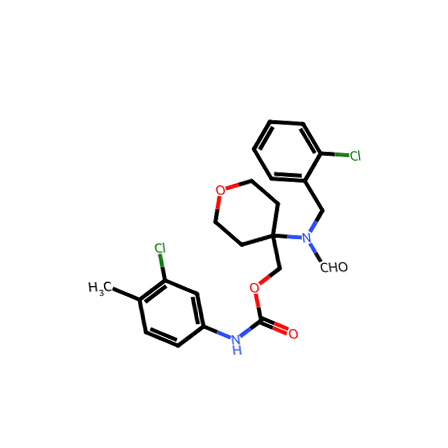 Cc1ccc(NC(=O)OCC2(N(C=O)Cc3ccccc3Cl)CCOCC2)cc1Cl